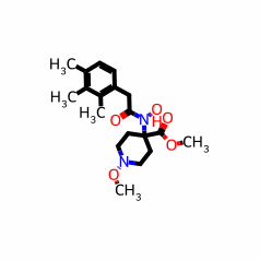 COC(=O)C1(N(O)C(=O)Cc2ccc(C)c(C)c2C)CCN(OC)CC1